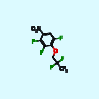 O=[N+]([O-])c1cc(F)c(OCC(F)(F)C(F)(F)F)c(F)c1F